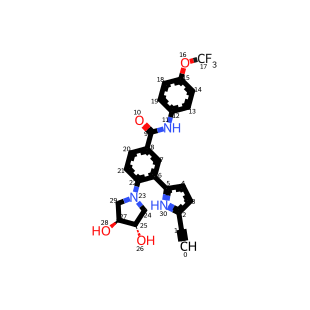 C#Cc1ccc(-c2cc(C(=O)Nc3ccc(OC(F)(F)F)cc3)ccc2N2C[C@H](O)[C@@H](O)C2)[nH]1